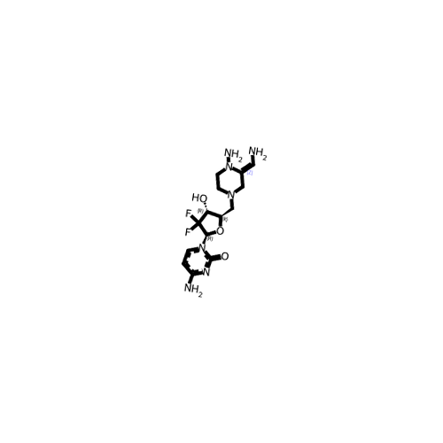 N/C=C1/CN(C[C@H]2O[C@@H](n3ccc(N)nc3=O)C(F)(F)[C@@H]2O)CCN1N